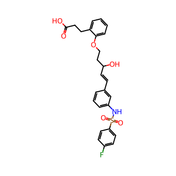 O=C(O)CCc1ccccc1OCCC(O)/C=C/c1cccc(NS(=O)(=O)c2ccc(F)cc2)c1